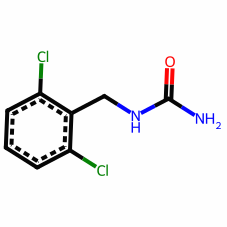 NC(=O)NCc1c(Cl)cccc1Cl